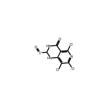 O=[S+]C1NC(=O)c2c(Cl)nc(Cl)c(Cl)c2N1